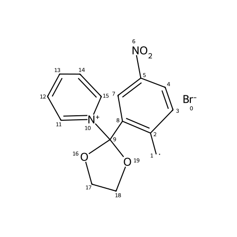 [Br-].[CH2]c1ccc([N+](=O)[O-])cc1C1([n+]2ccccc2)OCCO1